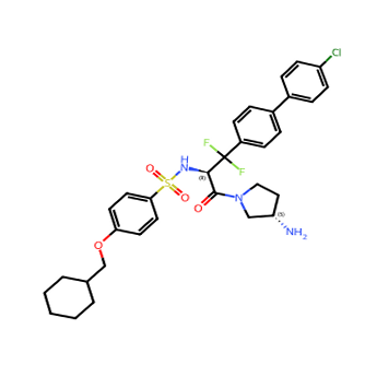 N[C@H]1CCN(C(=O)[C@@H](NS(=O)(=O)c2ccc(OCC3CCCCC3)cc2)C(F)(F)c2ccc(-c3ccc(Cl)cc3)cc2)C1